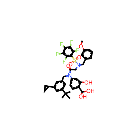 COc1cccc(CN(CC(=O)N(Cc2cc(C3CC3)cc(C(C)(C)C)c2)c2ccc(C(O)O)c(O)c2)S(=O)(=O)c2c(F)c(F)c(F)c(F)c2F)c1